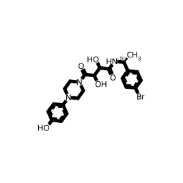 C[C@H](NC(=O)C(O)C(O)C(=O)N1CCN(c2ccc(O)cc2)CC1)c1ccc(Br)cc1